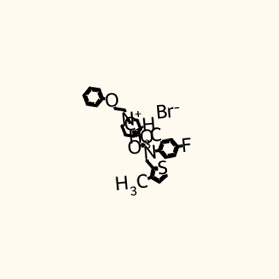 Cc1cc(F)ccc1N(Cc1sccc1C)C(=O)O[C@H]1C[N+]2(CCOc3ccccc3)CCC1CC2.[Br-]